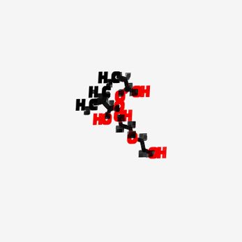 C=C(C)C(=O)O.C=CC(=O)O.OCCOCCO